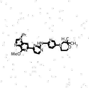 COc1nc(-c2ccnc(Nc3ccc(N4CCOC(C)(C)C4)cn3)n2)cc2c1ncn2C(C)C